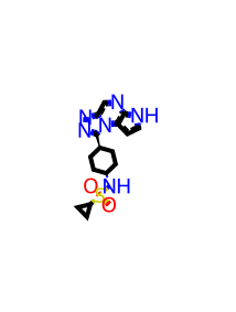 O=S(=O)(N[C@H]1CC[C@H](c2nnc3cnc4[nH]ccc4n32)CC1)C1CC1